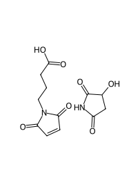 O=C(O)CCCN1C(=O)C=CC1=O.O=C1CC(O)C(=O)N1